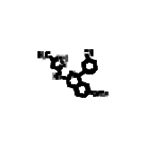 COc1ccc2cc(Nc3cc(C)[nH]n3)nc(-c3cccc(C#N)c3)c2c1